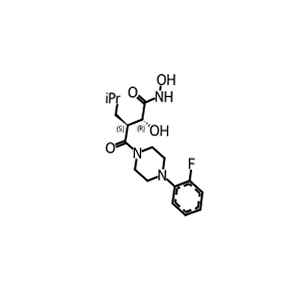 CC(C)C[C@H](C(=O)N1CCN(c2ccccc2F)CC1)[C@@H](O)C(=O)NO